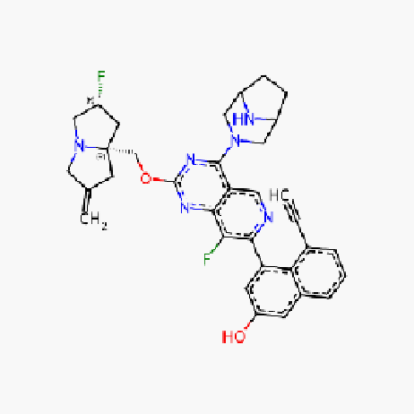 C#Cc1cccc2cc(O)cc(-c3ncc4c(N5CC6CCC(C5)N6)nc(OC[C@]56CC(=C)CN5C[C@H](F)C6)nc4c3F)c12